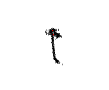 Cc1nnc(-c2ccc(OCCOCCOCCOCCOCCOCCOCCOCCOCCC(=O)NCC3O[C@H](OP(=O)(O)OP(=O)(O)OC[C@H]4O[C@@H](n5cnc6c(=O)[nH]c(C)cc65)[C@@H](O)C4O)C(O)[C@@H](O)[C@@H]3O)cc2)nn1